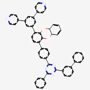 C1=CC2Oc3c(-c4ccc(-c5nc(-c6ccccc6)nc(-c6cccc(-c7ccccc7)c6)n5)cc4)ccc(-c4cc(-c5ccncc5)cc(-c5ccncc5)c4)c3OC2C=C1